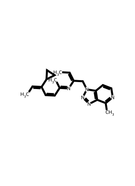 C\C=C(Cn1nnc2c(C)nccc21)/N=C(C)/C=C\C(=C/C)C1CC1